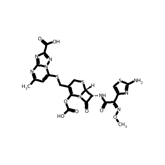 CO/N=C(\C(=O)N[C@@H]1C(=O)N2C(OC(=O)O)=C(CSc3cc(C)nc4nc(C(=O)O)nn34)CS[C@H]12)c1csc(N)n1